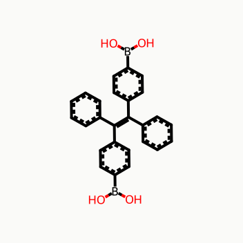 OB(O)c1ccc(/C(=C(\c2ccccc2)c2ccc(B(O)O)cc2)c2ccccc2)cc1